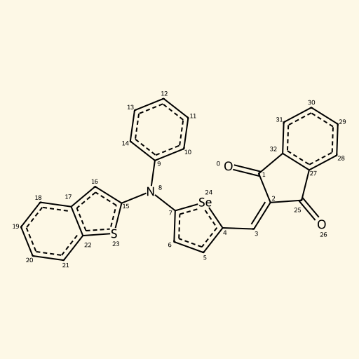 O=C1C(=Cc2ccc(N(c3ccccc3)c3cc4ccccc4s3)[se]2)C(=O)c2ccccc21